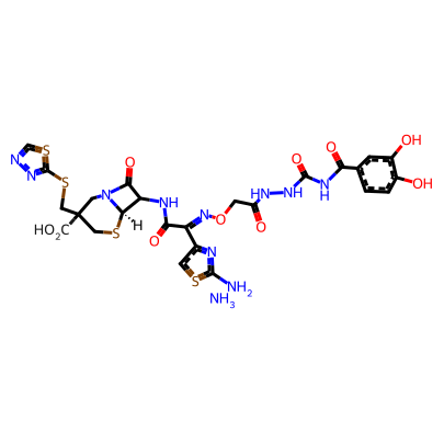 N.Nc1nc(C(=NOCC(=O)NNC(=O)NC(=O)c2ccc(O)c(O)c2)C(=O)NC2C(=O)N3CC(CSc4nncs4)(C(=O)O)CS[C@H]23)cs1